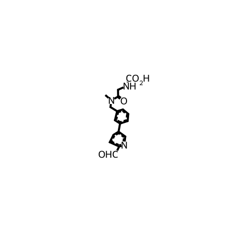 CN(Cc1cccc(-c2ccc(C=O)nc2)c1)C(=O)CNC(=O)O